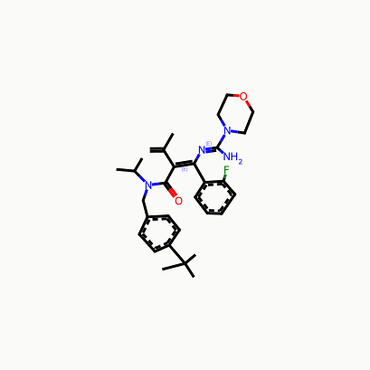 C=C(C)/C(C(=O)N(Cc1ccc(C(C)(C)C)cc1)C(C)C)=C(\N=C(/N)N1CCOCC1)c1ccccc1F